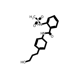 CS(=O)(=O)Nc1ccccc1C(=O)NC1C=CC(CCCO)=CC1